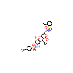 CCc1ccccc1S(=O)(=O)NCc1cc(O)c(C(c2cccc(NS(=O)(=O)c3ccc(C#N)cc3)c2)C2CC2)c(=O)o1